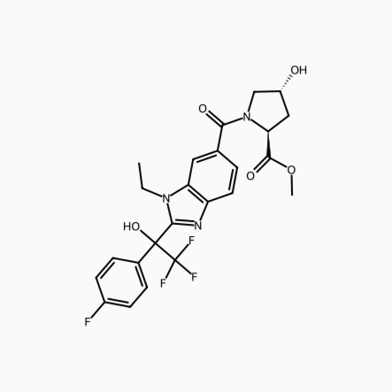 CCn1c(C(O)(c2ccc(F)cc2)C(F)(F)F)nc2ccc(C(=O)N3C[C@H](O)C[C@H]3C(=O)OC)cc21